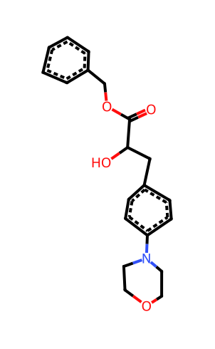 O=C(OCc1ccccc1)C(O)Cc1ccc(N2CCOCC2)cc1